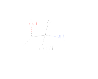 CC(=O)C(N)(C(=O)O)C(C)O